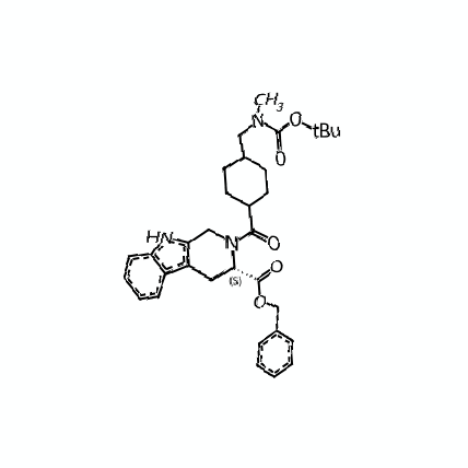 CN(CC1CCC(C(=O)N2Cc3[nH]c4ccccc4c3C[C@H]2C(=O)OCc2ccccc2)CC1)C(=O)OC(C)(C)C